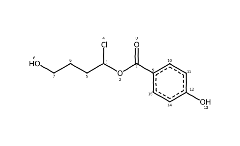 O=C(OC(Cl)CCCO)c1ccc(O)cc1